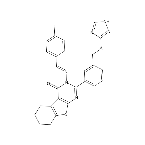 Cc1ccc(/C=N/n2c(-c3cccc(CSc4nc[nH]n4)c3)nc3sc4c(c3c2=O)CCCC4)cc1